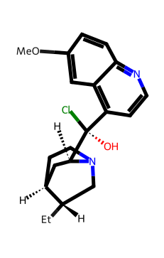 CC[C@H]1CN2CC[C@H]1C[C@H]2[C@@](O)(Cl)c1ccnc2ccc(OC)cc12